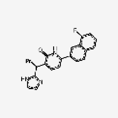 CC(C)C(c1ncc[nH]1)c1ccc(-c2ccc3cccc(F)c3c2)[nH]c1=O